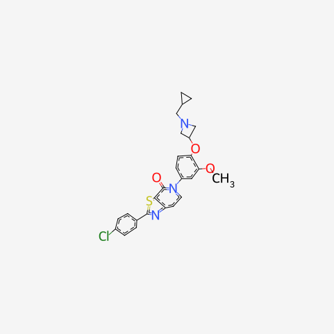 COc1cc(-n2ccc3nc(-c4ccc(Cl)cc4)sc3c2=O)ccc1OC1CN(CC2CC2)C1